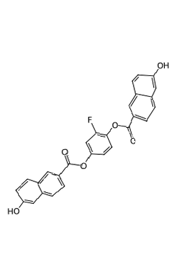 O=C(Oc1ccc(OC(=O)c2ccc3cc(O)ccc3c2)c(F)c1)c1ccc2cc(O)ccc2c1